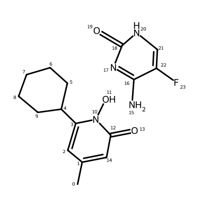 Cc1cc(C2CCCCC2)n(O)c(=O)c1.Nc1nc(=O)[nH]cc1F